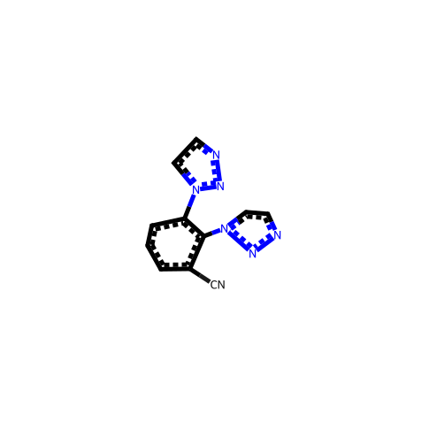 N#Cc1cccc(-n2ccnn2)c1-n1ccnn1